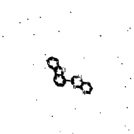 c1cnc2nc(-c3cccc4c3oc3ccccc34)cnc2c1